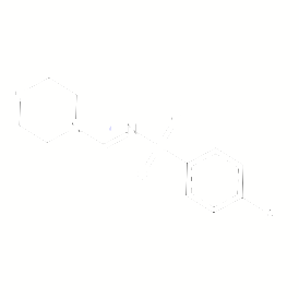 CC(=O)c1ccc(S(=O)(=O)/N=C/N2CCOCC2)cc1